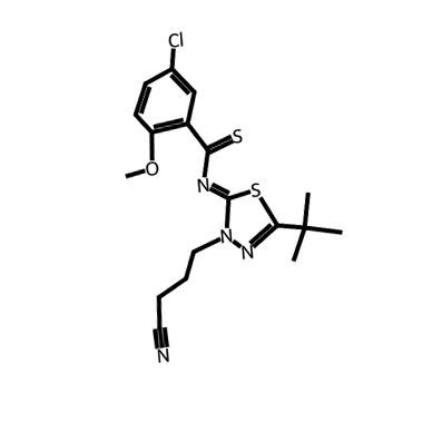 COc1ccc(Cl)cc1C(=S)N=c1sc(C(C)(C)C)nn1CCCC#N